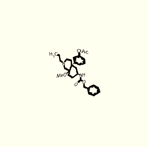 C=CCN1CC[C@@]2(c3cccc(OC(C)=O)c3)C[C@@H](NC(=O)OCc3ccccc3)CC[C@]2(OC)C1